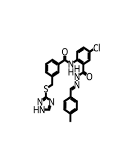 Cc1ccc(C=NNC(=O)c2cc(Cl)ccc2NC(=O)c2cccc(CSc3nc[nH]n3)c2)cc1